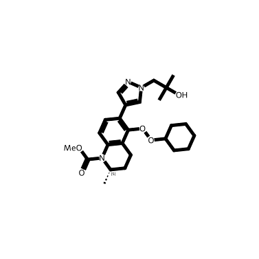 COC(=O)N1c2ccc(-c3cnn(CC(C)(C)O)c3)c(OOC3CCCCC3)c2CC[C@@H]1C